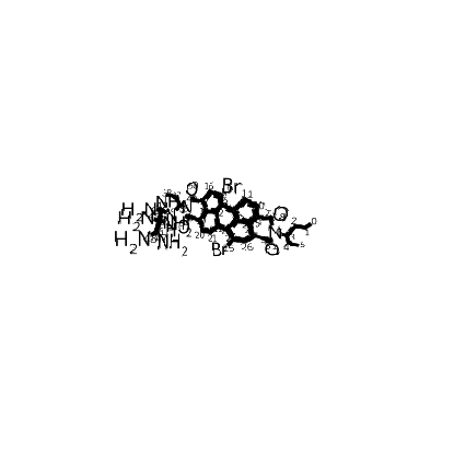 CCCC(CC)N1C(=O)c2ccc3c4c(Br)cc5c6c(ccc(c7c(Br)cc(c2c37)C1=O)c64)C(=O)N(C(CC)NC(N)(N)C(N)(N)C(N)N)C5=O